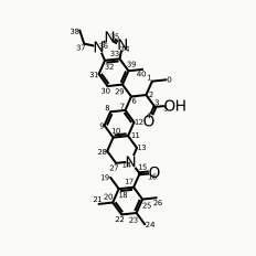 CCC(C(=O)O)C(c1ccc2c(c1)CN(C(=O)c1c(C)c(C)cc(C)c1C)CC2)c1ccc2c(nnn2CC)c1C